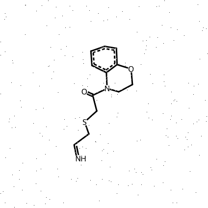 N=CCSCC(=O)N1CCOc2ccccc21